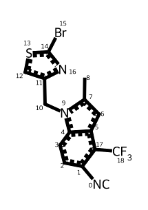 [C-]#[N+]c1ccc2c(cc(C)n2Cc2csc(Br)n2)c1C(F)(F)F